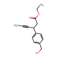 CC#CC(CC(=O)OCC)c1ccc(CO)cc1